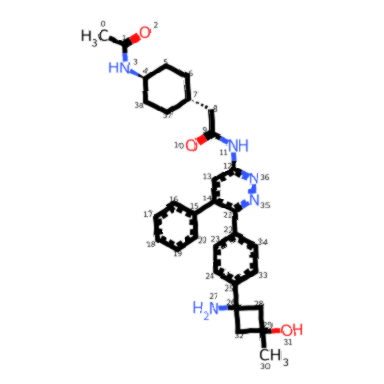 CC(=O)N[C@H]1CC[C@H](CC(=O)Nc2cc(-c3ccccc3)c(-c3ccc(C4(N)CC(C)(O)C4)cc3)nn2)CC1